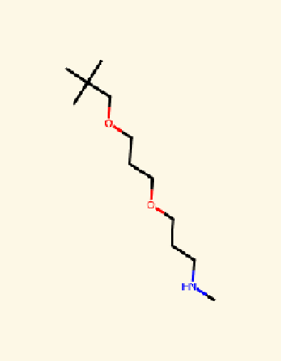 CNCCCOCCCOCC(C)(C)C